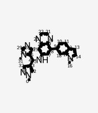 Cn1cc([C@@H](Nc2cc(-c3ccc4ccn(C)c4c3)c3nccnc3c2)c2cncn2C)cn1